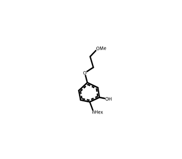 CCCCCCc1ccc(OCCOC)cc1O